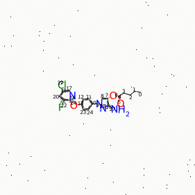 CCCCC(=O)Oc1cn(-c2ccc(Oc3ncc(Cl)cc3F)cc2)nc1N